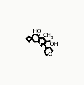 Cc1c(CO)c(C2CCOCC2)nc2c1[C@@H](O)CC1(CCC1)C2